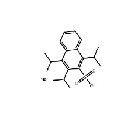 CC(C)c1c(S(=O)(=O)[O-])c(C(C)C)c2ccccc2c1C(C)C.[Na+]